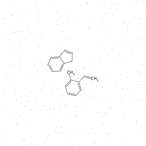 C1=Cc2ccccc2C1.C=Cc1ccccc1C